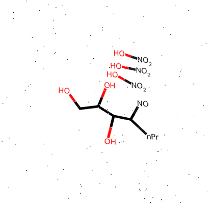 CCCC(N=O)C(O)C(O)CO.O=[N+]([O-])O.O=[N+]([O-])O.O=[N+]([O-])O